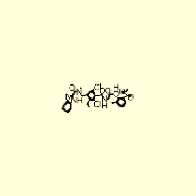 CCc1c(CN(C)C(=O)c2nc3ccccc3[nH]2)cc(Cl)c(C(=O)N[C@@H](Cc2cccc(S(C)(=O)=O)c2)C(=O)O)c1Cl